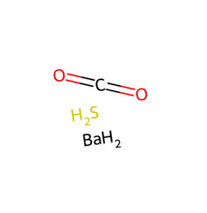 O=C=O.S.[BaH2]